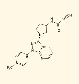 C#CC(=O)NC1CCN(c2nn(-c3ccc(C(F)(F)F)cc3)c3ncccc23)C1